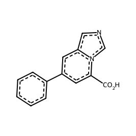 O=C(O)c1cc(-c2ccccc2)cc2cncn12